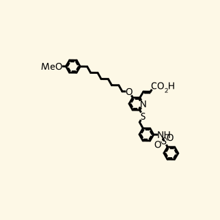 COc1ccc(CCCCCCCCOc2ccc(SCc3cccc(NS(=O)(=O)c4ccccc4)c3)nc2C=CC(=O)O)cc1